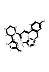 Cc1nnn(Cc2cc(Cl)ccc2C=CC(=O)N2CCCCC2c2nc(C(C)C)no2)n1